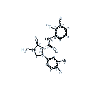 CN1C[C@H](c2ccc(F)c(Br)c2)[C@@H](C(=O)Nc2cccc(F)c2F)C1=O